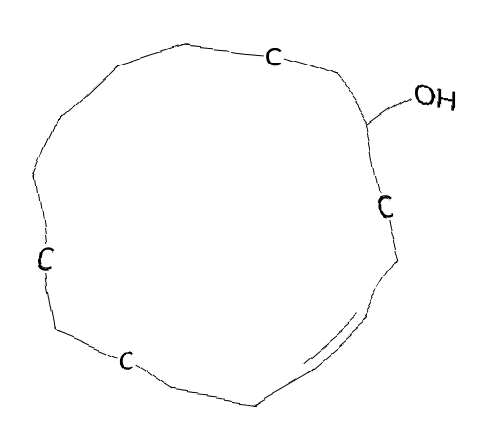 OC1CCC=CCCCCCCCCCCC1